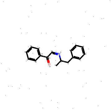 CC(Cc1ccccc1)/N=C\C(=O)c1ccccc1